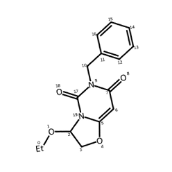 CCOC1COc2cc(=O)n(Cc3ccccc3)c(=O)n21